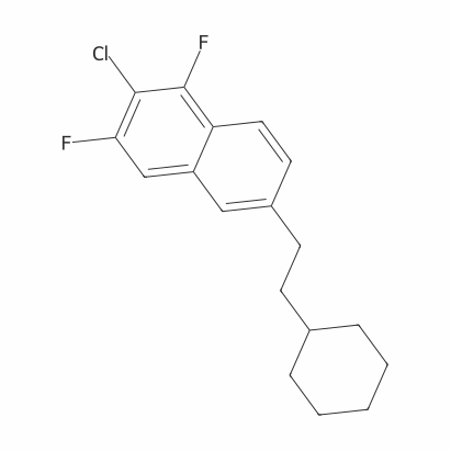 Fc1cc2cc(CCC3CCCCC3)ccc2c(F)c1Cl